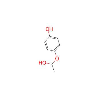 CC(O)Oc1ccc(O)cc1